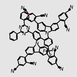 N#Cc1ccc(-c2ccc3c(c2)c2cc(-c4ccc(C#N)cc4C#N)ccc2n3-c2ccc(C(F)(F)F)cc2-c2ccc(-c3nc(-c4ccccc4)nc(-c4ccccc4)n3)cc2-n2c3ccc(-c4ccc(C#N)cc4C#N)cc3c3cc(-c4ccc(C#N)cc4C#N)ccc32)c(C#N)c1